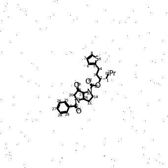 CC(C)C[C@@H](CCc1cccs1)OC(=O)N1CCC2C1C(=O)CN2C(=O)c1ccccc1